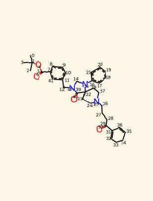 CC(C)(C)OC(=O)c1cccc(CN2CN(c3ccccc3)C3(CCN(CCCC(=O)C4=CCCC=C4)CC3)C2=O)c1